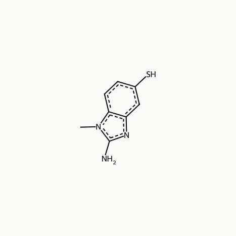 Cn1c(N)nc2cc(S)ccc21